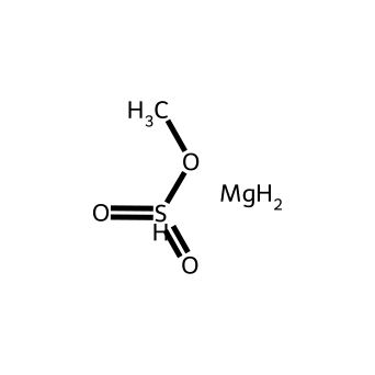 CO[SH](=O)=O.[MgH2]